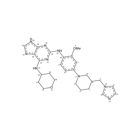 COc1cc(N2CCCC(Cn3ccnc3)C2)ccc1Nc1nc(NC2CCOCC2)c2nc[nH]c2n1